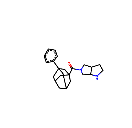 O=C(N1CC2CCNC2C1)C12CC3CC(C1)CC(c1ccccc1)(C3)C2